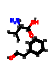 CC(C)[C@H](N)C(=O)O.O=CCc1ccccc1